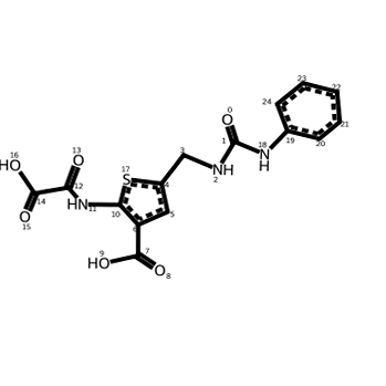 O=C(NCc1cc(C(=O)O)c(NC(=O)C(=O)O)s1)Nc1ccccc1